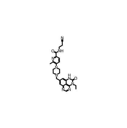 CCN1C(=O)Nc2cc(CN3CCN(c4ccc(C(=O)NCCC#N)nc4C)CC3)cc3ncnc1c23